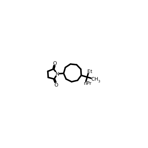 CCCC(C)(CC)C1CCCCC(N2C(=O)CCC2=O)CCC1